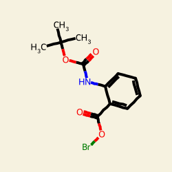 CC(C)(C)OC(=O)Nc1ccccc1C(=O)OBr